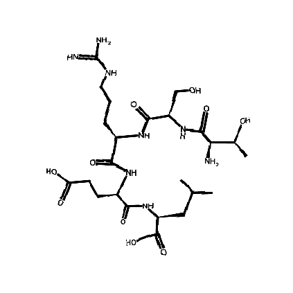 CC(C)C[C@H](NC(=O)[C@@H](CCC(=O)O)NC(=O)[C@@H](CCCNC(=N)N)NC(=O)[C@@H](CO)NC(=O)[C@H](N)[C@H](C)O)C(=O)O